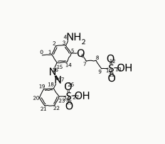 Cc1cc(N)c(OCCCS(=O)(=O)O)cc1N=Nc1ccccc1S(=O)(=O)O